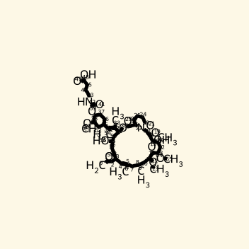 C=CCC1C=C(C)CC(C)CC(OC)C2OC(O)(C(=O)C(=O)N3CCCCC3C(=O)OC(C(C)=CC3CCC(OC(=O)NCCCC(=O)O)C(OC)C3)C(C)C(O)CC1=O)C(C)CC2OC